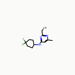 Cc1cc(NC2CCC(F)(F)CC2)nc(CC#N)n1